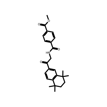 COC(=O)c1ccc(C(=O)NCC(=O)c2ccc3c(c2)C(C)(C)CCC3(C)C)cc1